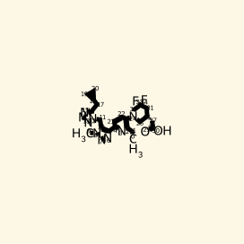 CCc1nc(-c2nnn(C)c2Cn2nnnc2CC2CC2)ccc1N1C[C@@H](CC(=O)O)CC(F)(F)C1